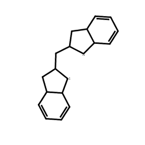 [C]1C(CC2[C]C3C=CC=CC3C2)CC2C=CC=CC12